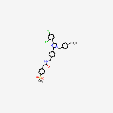 CS(=O)(=O)c1ccc(CC(=O)NCc2ccc(-c3nc(-c4ccc(Cl)cc4Cl)cn3Cc3ccc(C(=O)O)cc3)cc2)cc1